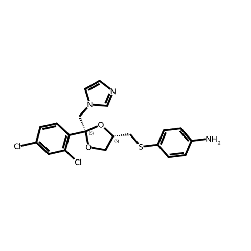 Nc1ccc(SC[C@@H]2CO[C@@](Cn3ccnc3)(c3ccc(Cl)cc3Cl)O2)cc1